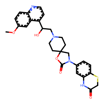 COc1ccc2nccc(C(O)CN3CCC4(CC3)CN(c3ccc5c(c3)NC(=O)CS5)C(=O)O4)c2c1